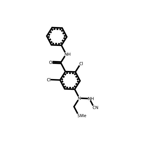 CSCN(NC#N)c1cc(Cl)c(C(=O)Nc2ccccc2)c(Cl)c1